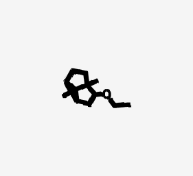 CCOC1CC2C3CCC1(C)C32C